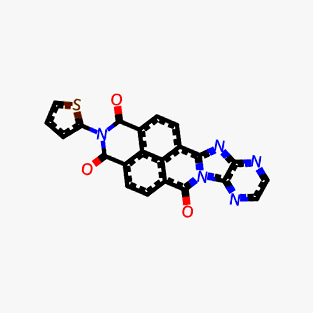 O=C1c2ccc3c(=O)n4c5nccnc5nc4c4ccc(c2c34)C(=O)N1c1cccs1